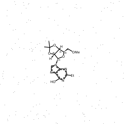 CCc1nc(O)c2ncn([C@@H]3O[C@H](COC)[C@H]4OC(C)(C)O[C@H]43)c2n1